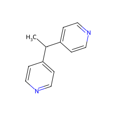 C[C](c1ccncc1)c1ccncc1